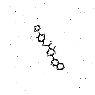 Cc1nc(-c2cnc3ccccc3c2)ncc1C(=O)Nc1cnc(-n2nccn2)c(C(F)(F)F)c1